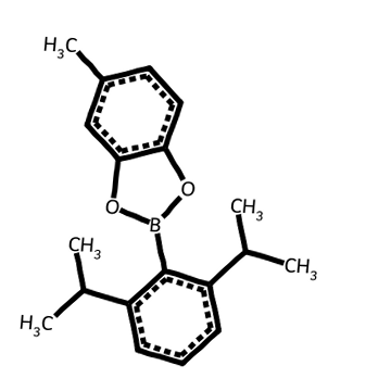 Cc1ccc2c(c1)OB(c1c(C(C)C)cccc1C(C)C)O2